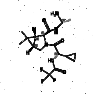 C[C@@H](N)NC(=O)[C@@H]1[C@@H]2[C@H](CN1C(=O)[C@@H](NC(=O)C(F)(F)F)C1CC1)C2(C)C